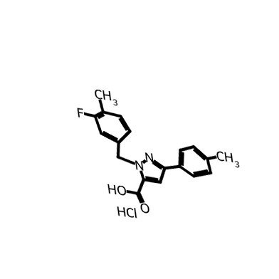 Cc1ccc(-c2cc(C(=O)O)n(Cc3ccc(C)c(F)c3)n2)cc1.Cl